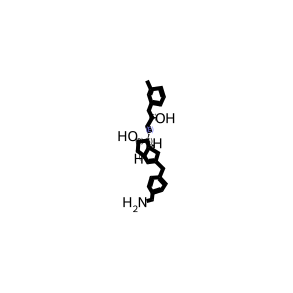 Cc1cccc(C[C@H](O)/C=C/[C@@H]2[C@H]3CC(Cc4ccc(CN)cc4)=C[C@H]3C[C@H]2O)c1